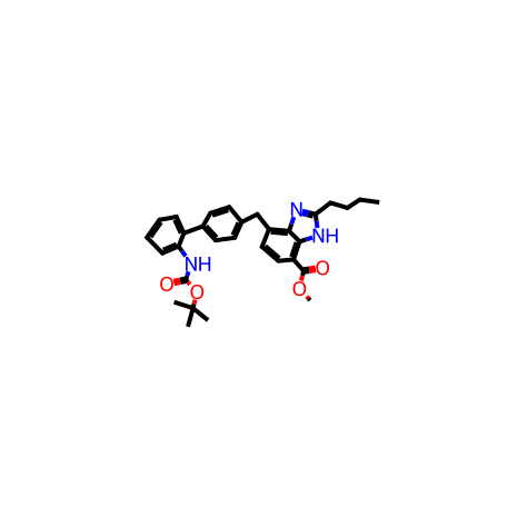 CCCCc1nc2c(Cc3ccc(-c4ccccc4NC(=O)OC(C)(C)C)cc3)ccc(C(=O)OC)c2[nH]1